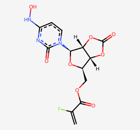 C=C(F)C(=O)OC[C@H]1O[C@@H](n2ccc(NO)nc2=O)[C@@H]2OC(=O)O[C@@H]21